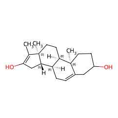 CC1=C(O)C[C@H]2[C@@H]3CC=C4CC(O)CC[C@]4(C)[C@@H]3CC[C@]12C